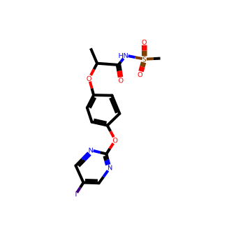 CC(Oc1ccc(Oc2ncc(I)cn2)cc1)C(=O)NS(C)(=O)=O